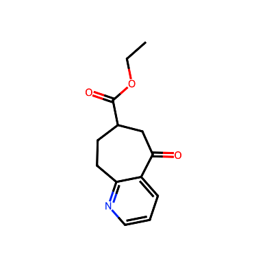 CCOC(=O)C1CCc2ncccc2C(=O)C1